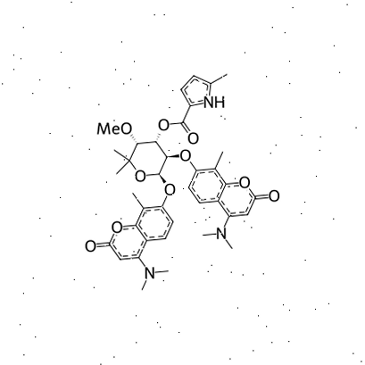 CO[C@@H]1[C@H](OC(=O)c2ccc(C)[nH]2)[C@@H](Oc2ccc3c(N(C)C)cc(=O)oc3c2C)[C@@H](Oc2ccc3c(N(C)C)cc(=O)oc3c2C)OC1(C)C